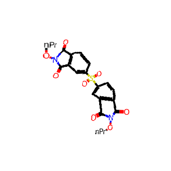 CCCON1C(=O)c2ccc(S(=O)(=O)c3ccc4c(c3)C(=O)N(OCCC)C4=O)cc2C1=O